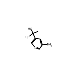 Bc1cncc(C(C)(O)C(F)(F)F)c1